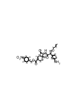 C=CCON=C(C(=O)NC1C(=O)N2C=C(C(=O)OCc3ccc([N+](=O)[O-])cc3)CS[C@H]12)c1csc(N)n1